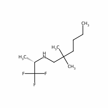 CCCCC(C)(C)CN[C@@H](C)C(F)(F)F